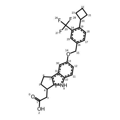 O=C(O)CC1CCc2c1[nH]c1ccc(OCc3ccc(C4CCC4)c(C(F)(F)F)c3)cc21